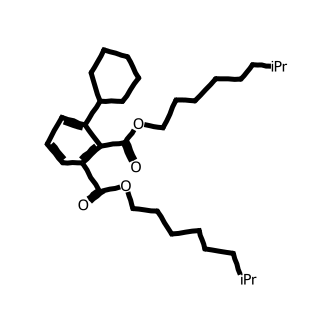 CC(C)CCCCCCOC(=O)c1cccc(C2CCCCC2)c1C(=O)OCCCCCCC(C)C